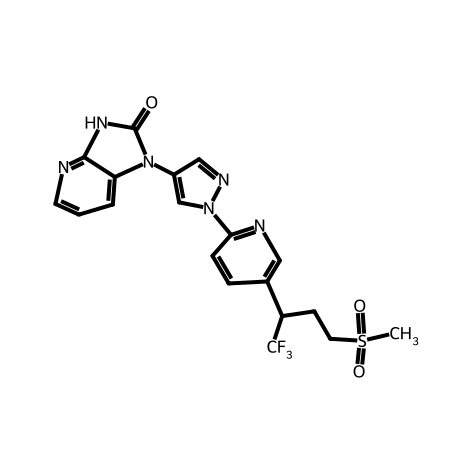 CS(=O)(=O)CCC(c1ccc(-n2cc(-n3c(=O)[nH]c4ncccc43)cn2)nc1)C(F)(F)F